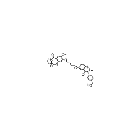 COc1cc2c(cc1OCCCCOc1ccc3nc(C)n(-c4ccc(CO)cc4)c(=O)c3c1)N=C[C@@H]1CCCN1C2=O